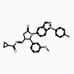 COc1cccc(C2C(/C=N/C(=O)C3CC3)CC(=O)N2c2ccc3c(cnn3-c3ccc(F)cc3)c2)c1